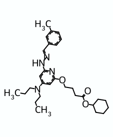 CCCN(CCC)c1cc(N/N=C/c2cccc(C)c2)nc(OCCCC(=O)OC2CCCCC2)c1